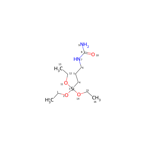 CCO[Si](CCCNC(N)=O)(OCC)OCC